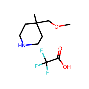 COCC1(C)CCNCC1.O=C(O)C(F)(F)F